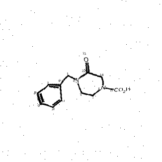 O=C(O)N1CCN(Cc2ccccc2)C(=O)C1